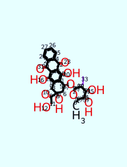 C[C@@H]1O[C@@H](O[C@H]2C[C@](O)(C(=O)CO)Cc3c(O)c4c(c(O)c32)C(=O)c2ccccc2C4=O)[C@H](I)[C@H](O)[C@H]1O